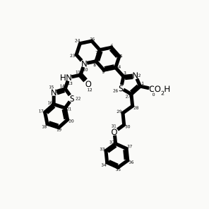 O=C(O)c1nc(-c2ccc3c(c2)N(C(=O)Nc2nc4ccccc4s2)CCC3)sc1CCCOc1ccccc1